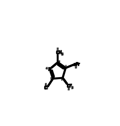 CCCC1=C(C)N=C(Cl)C1C(F)(F)F